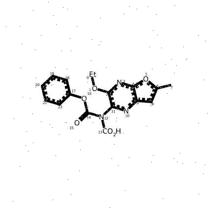 CCOc1nc2oc(C)cc2nc1N(C(=O)O)C(=O)Oc1ccccc1